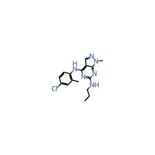 CCCNc1nc(Nc2ccc(Cl)cc2C)c2cnn(C)c2n1